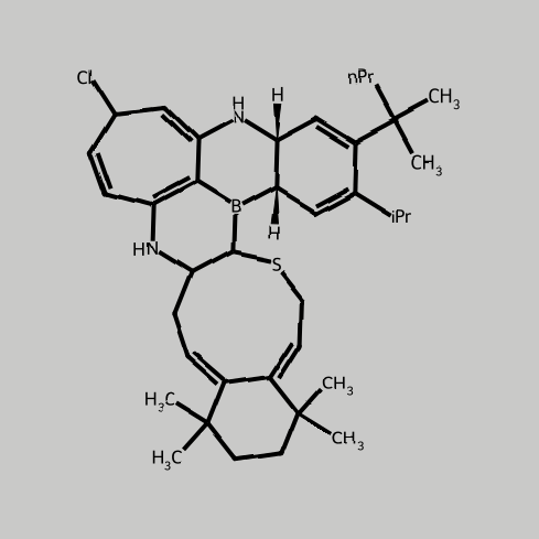 CCCC(C)(C)C1=C[C@H]2NC3=CC(Cl)C=CC4=C3B(C3SC/C=C5\C(=C/CC3N4)C(C)(C)CCC5(C)C)[C@H]2C=C1C(C)C